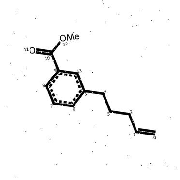 C=CCCCc1cccc(C(=O)OC)c1